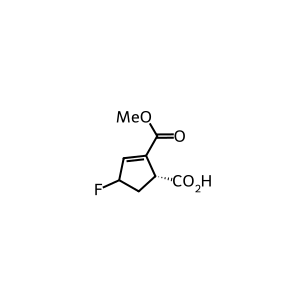 COC(=O)C1=CC(F)C[C@H]1C(=O)O